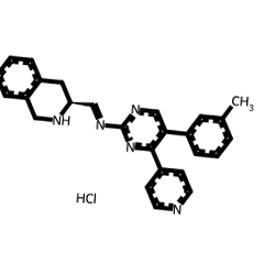 Cc1cccc(-c2cnc(N=C[C@@H]3Cc4ccccc4CN3)nc2-c2ccncc2)c1.Cl